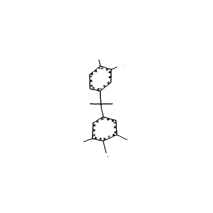 COc1cc(C(C)(C)c2cc(C)c(C(C)C)c(C)c2)ccc1Cl